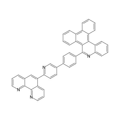 c1cnc2c(c1)cc(-c1ccc(-c3ccc(-c4nc5ccccc5c5c6ccccc6c6ccccc6c45)cc3)cn1)c1cccnc12